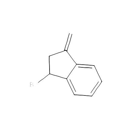 C=C1CC(C(C)(C)C)c2ccccc21